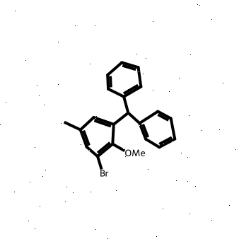 COc1c(Br)cc(C)cc1C(c1ccccc1)c1ccccc1